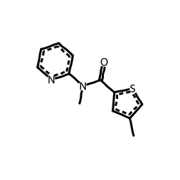 Cc1csc(C(=O)N(C)c2ccccn2)c1